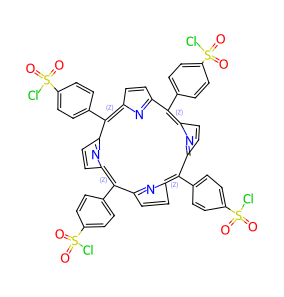 O=S(=O)(Cl)c1ccc(/C2=C3\C=CC(=N3)/C(c3ccc(S(=O)(=O)Cl)cc3)=C3/C=CC(=N3)/C(c3ccc(S(=O)(=O)Cl)cc3)=C3/C=CC(=N3)/C(c3ccc(S(=O)(=O)Cl)cc3)=C3/C=CC2=N3)cc1